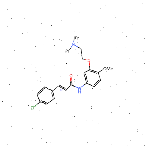 COc1ccc(NC(=O)/C=C/c2ccc(Cl)cc2)cc1OCCN(C(C)C)C(C)C